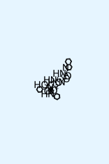 CC(C)CN(C(O)(CCNC(=O)C[C@H](NC(=O)c1ccc2ccccc2n1)C(N)=O)Cc1ccccc1)S(=O)(=O)Nc1ccccc1